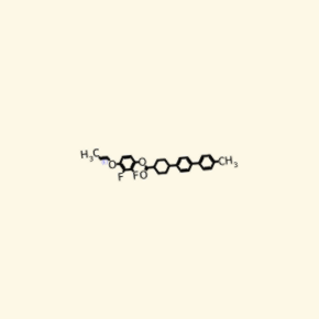 C/C=C/Oc1ccc(OC(=O)C2CCC(c3ccc(-c4ccc(C)cc4)cc3)CC2)c(F)c1F